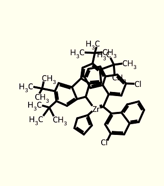 CC(C)(C)c1cc2c(cc1C(C)(C)C)[CH]([Zr]([C]1=CC=CC1)=[C](c1cc(Cl)cc3ccccc13)c1cc(Cl)cc3ccccc13)c1cc(C(C)(C)C)c(C(C)(C)C)cc1-2